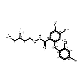 O=C(NOCCC(O)CO)c1cc(Cl)c(F)cc1Nc1ccc(I)cc1Cl